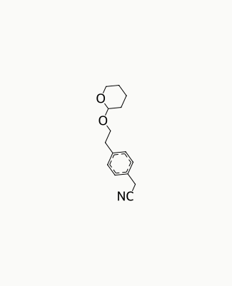 N#CCc1ccc(CCOC2CCCCO2)cc1